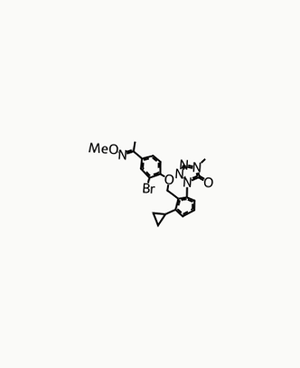 CON=C(C)c1ccc(OCc2c(C3CC3)cccc2-n2nnn(C)c2=O)c(Br)c1